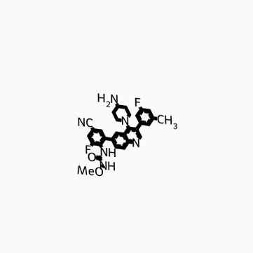 CONC(=O)Nc1c(F)cc(C#N)cc1-c1ccc2ncc(-c3cc(C)cc(F)c3)c(N3CCC(N)CC3)c2c1